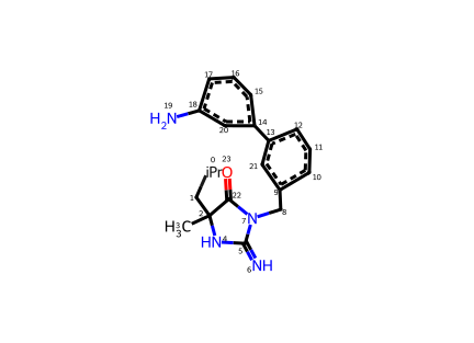 CC(C)CC1(C)NC(=N)N(Cc2cccc(-c3cccc(N)c3)c2)C1=O